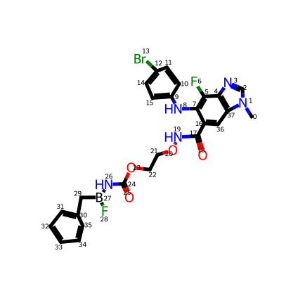 Cn1cnc2c(F)c(Nc3ccc(Br)cc3)c(C(=O)NOCCOC(=O)NB(F)Cc3ccccc3)cc21